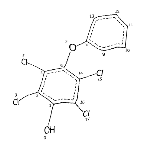 Oc1c(Cl)c(Cl)c(Oc2ccccc2)c(Cl)c1Cl